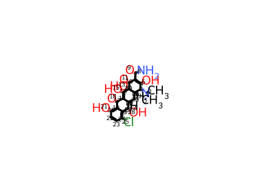 CN(C)C1C(O)=C(C(N)=O)C(=O)[C@@]2(O)C(O)=C3C(=O)c4c(O)ccc(Cl)c4[C@@H](O)[C@H]3C[C@@H]12